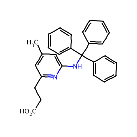 Cc1cc(CCC(=O)O)nc(NC(c2ccccc2)(c2ccccc2)c2ccccc2)c1